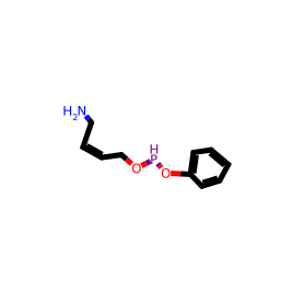 NC/C=C\COPOc1ccccc1